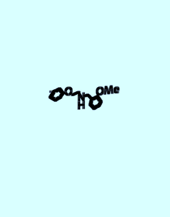 COc1ccccc1CNCCOc1c[c]ccc1